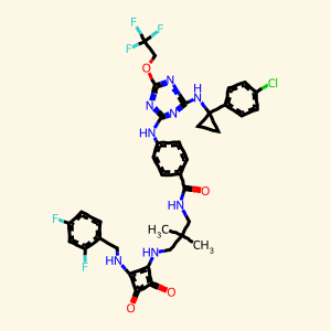 CC(C)(CNC(=O)c1ccc(Nc2nc(NC3(c4ccc(Cl)cc4)CC3)nc(OCC(F)(F)F)n2)cc1)CNc1c(NCc2ccc(F)cc2F)c(=O)c1=O